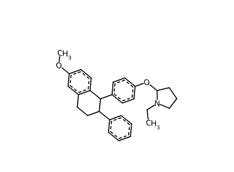 CCN1CCCC1Oc1ccc(C2c3ccc(OC)cc3CCC2c2ccccc2)cc1